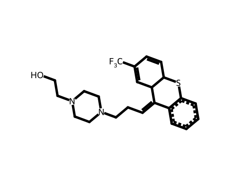 OCCN1CCN(CCC=C2c3ccccc3SC3C=CC(C(F)(F)F)=CC23)CC1